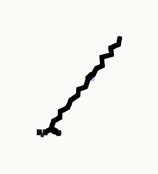 CCCCCCC/C=C/CCCCCCCCC(N)=O